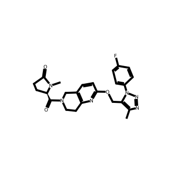 Cc1nnn(-c2ccc(F)cc2)c1COc1ccc2c(n1)CCN(C(=O)[C@H]1CCC(=O)N1C)C2